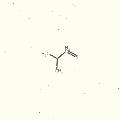 CC(C)[PH2]=S